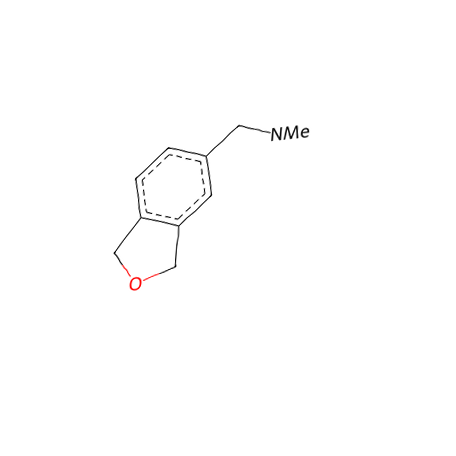 CNCc1ccc2c(c1)COC2